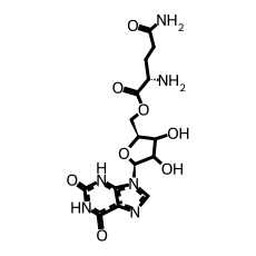 NC(=O)CC[C@H](N)C(=O)OC[C@@H]1O[C@H](n2cnc3c(=O)[nH]c(=O)[nH]c32)C(O)C1O